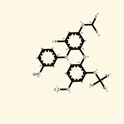 [2H]C([2H])([2H])Oc1cc(OC(F)(F)F)ccc1Oc1cc(OC(F)F)cc(F)c1Oc1cccc([C]=O)c1